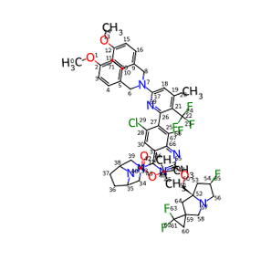 COc1ccc(CN(Cc2ccc(OC)cc2)c2cc(C)c(C(F)(F)F)c(-c3c(Cl)cc4c(N5CC6CCC(C5)N6C(=O)OC(C)(C)C)nc(OC[C@@]56C[C@@H](F)CN5CC5(CC5(F)F)C6)nc4c3F)n2)cc1